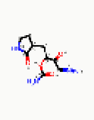 [N-]=[N+]=CC(=O)[C@H](C[C@@H]1CCNC1=O)OC(N)=O